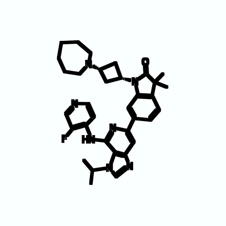 CC(C)n1cnc2cc(-c3ccc4c(c3)N([C@H]3C[C@@H](N5CCCCCC5)C3)C(=O)C4(C)C)nc(Nc3ccncc3F)c21